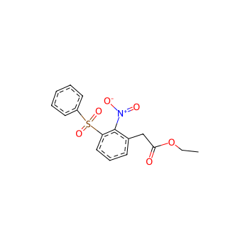 CCOC(=O)Cc1cccc(S(=O)(=O)c2ccccc2)c1[N+](=O)[O-]